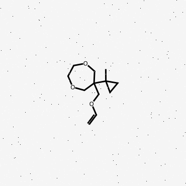 C=COCC1(C2(C)CC2)COCCOC1